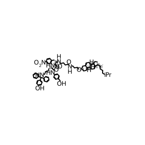 CC(C)CCC[C@@H](C)[C@H]1CC[C@H]2[C@@H]3CC=C4C[C@@H](OCCCNC(=O)CCC(=O)N[C@@H](Cc5ccc([N+](=O)[O-])cc5)C(=O)N[C@@H](CCCCNC(c5ccccc5)(c5ccccc5)c5ccc(O)cc5)C(=O)Nc5ccc(CO)cc5)CC[C@]4(C)[C@H]3CC[C@]12C